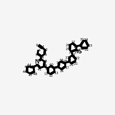 C#C/C=C\C(=C/C)c1cc(-c2cccc(-c3ccc(-c4cccc(-c5cccc6c5sc5ccccc56)c4)cc3)c2)cc(-c2ccccc2)n1